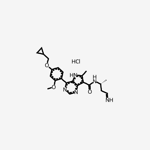 COc1cc(OCC2CC2)ccc1-c1ncnc2c(C(=O)N[C@H](C)CC=N)c(C)[nH]c12.Cl